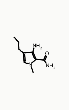 CCCc1cn(C)c(C(N)=O)c1N